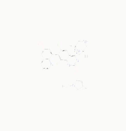 CN1C[C@H](F)C[C@H]1COc1nc(N2[C@@H]3CC[C@H]2CNC3)c2cc(F)c(-c3cc(O)cc4cccnc34)c(F)c2n1